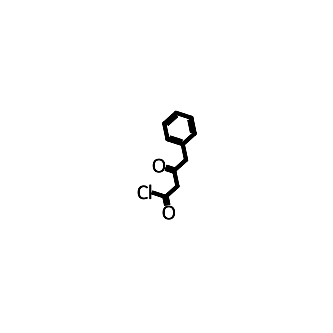 O=C(Cl)CC(=O)Cc1ccccc1